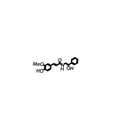 COc1cc(/C=C/C(=O)NC[C@@H](O)c2ccccc2)ccc1O